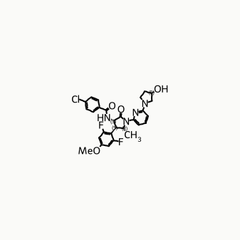 COc1cc(F)c([C@H]2[C@H](NC(=O)c3ccc(Cl)cc3)C(=O)N(c3cccc(N4CC[C@@H](O)C4)n3)[C@@H]2C)c(F)c1